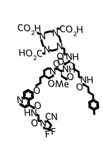 COC(=O)C[C@H](NC(=O)[C@H](CCCCNC(=O)CCCc1ccc(C)cc1)NC(=O)CN1CCN(CC(=O)O)CCN(CC(=O)O)CCN(CC(=O)O)CC1)C(=O)N1CCC(CCCOc2ccc3nccc(C(=O)NCC(=O)N4CC(F)(F)C[C@@H]4C#N)c3c2)CC1